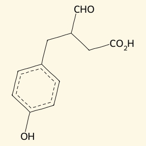 O=CC(CC(=O)O)Cc1ccc(O)cc1